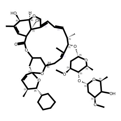 CO[C@H]1C[C@H](O[C@H]2[C@H](C)O[C@@H](O[C@@H]3/C(C)=C/C[C@@H]4CC(C[C@]5(C=C[C@H](C)[C@@H](C6CCCCC6)O5)O4)OC(=O)C4C=C(C)[C@@H](O)[C@H]5OC/C(=C\C=C\[C@@H]3C)[C@@]45O)C[C@@H]2OC)O[C@@H](C)C1O